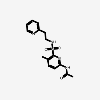 CC(=O)Nc1ccc(C)c(S(=O)(=O)NCCc2ccccn2)n1